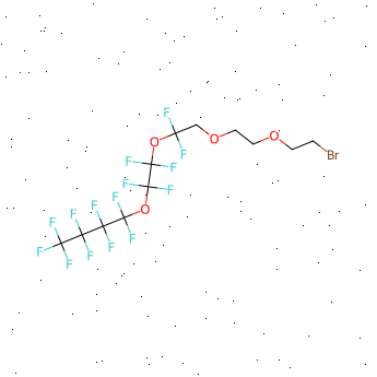 FC(F)(COCCOCCBr)OC(F)(F)C(F)(F)OC(F)(F)C(F)(F)C(F)(F)C(F)(F)F